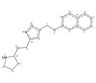 c1ccc2cc(OCc3cc(COC4CCCN4)no3)ccc2c1